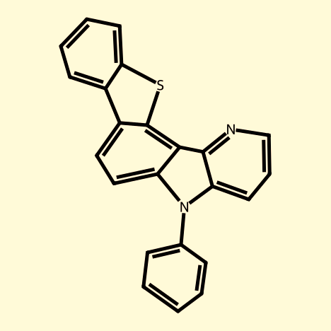 c1ccc(-n2c3cccnc3c3c4sc5ccccc5c4ccc32)cc1